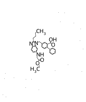 CCCCc1nc2ccc(NCC(=O)OCC)cc2n1Cc1ccc(-c2ccccc2)c(C(=O)O)c1